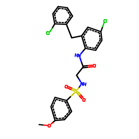 COc1ccc(S(=O)(=O)NCC(=O)Nc2ccc(Cl)cc2Cc2ccccc2Cl)cc1